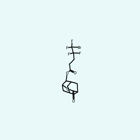 O=C(CCC(F)(F)C(F)(F)Br)OC1C2CC3CC(C2)C(=O)OC1C3